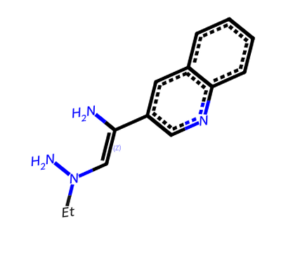 CCN(N)/C=C(\N)c1cnc2ccccc2c1